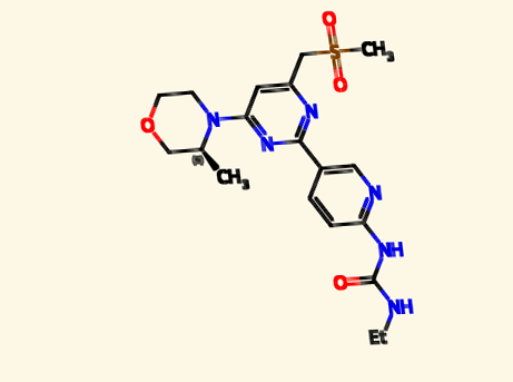 CCNC(=O)Nc1ccc(-c2nc(CS(C)(=O)=O)cc(N3CCOC[C@@H]3C)n2)cn1